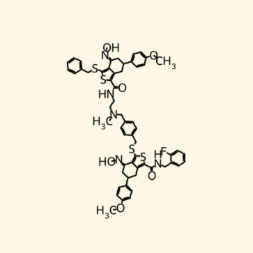 COc1ccc(C2C/C(=N\O)c3c(SCc4ccccc4)sc(C(=O)NCCN(C)Cc4ccc(CSc5sc(C(=O)NCc6ccccc6F)c6c5/C(=N/O)CC(c5ccc(OC)cc5)C6)cc4)c3C2)cc1